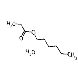 CCCCCCOC(=O)CC.O